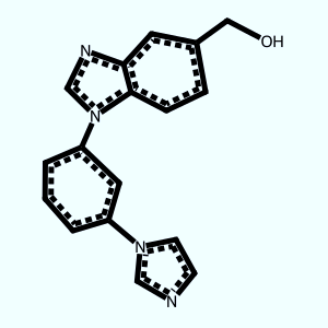 OCc1ccc2c(c1)ncn2-c1cccc(-n2ccnc2)c1